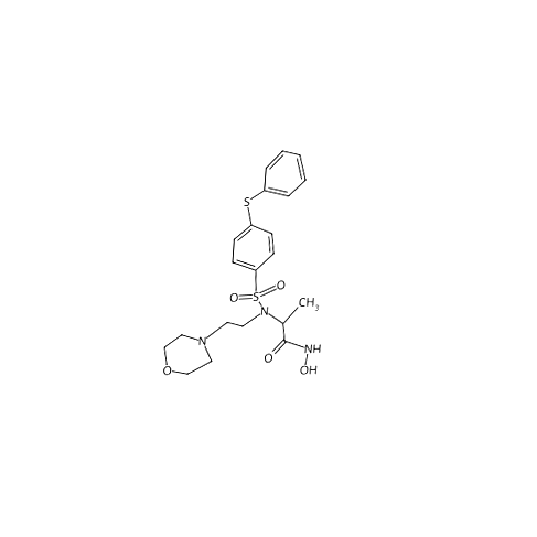 CC(C(=O)NO)N(CCN1CCOCC1)S(=O)(=O)c1ccc(Sc2ccccc2)cc1